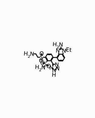 CCn1c(N)nc2c(-c3ccc(S(=O)(=O)CCN)c(S(N)(=O)=O)c3-c3nn[nH]n3)cccc21